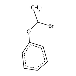 [CH2]C(Br)Oc1ccccc1